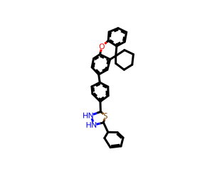 C1=CCC(C2NNC(c3ccc(-c4ccc5c(c4)C4(CCCCC4)c4ccccc4O5)cc3)S2)C=C1